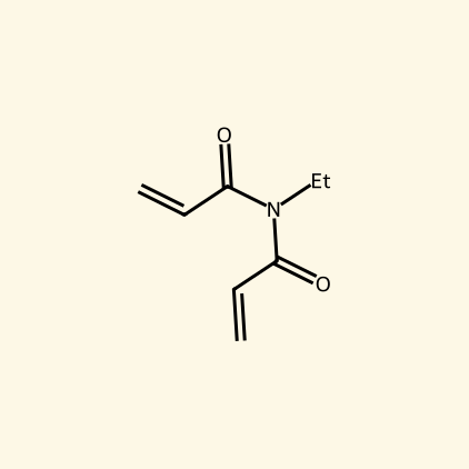 C=CC(=O)N(CC)C(=O)C=C